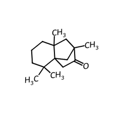 CC12CC3(C)CCCC(C)(C)C3(CC1=O)C2